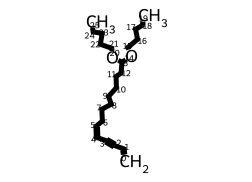 C=CC#C/C=C\CCCCCCCC(OCCCCC)OCCCCC